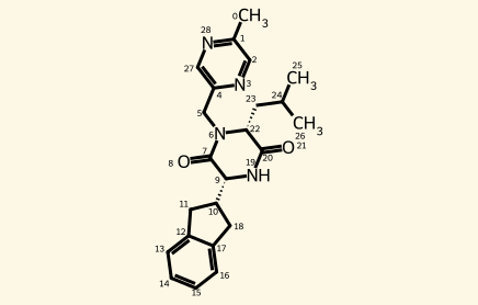 Cc1cnc(CN2C(=O)[C@@H](C3Cc4ccccc4C3)NC(=O)[C@H]2CC(C)C)cn1